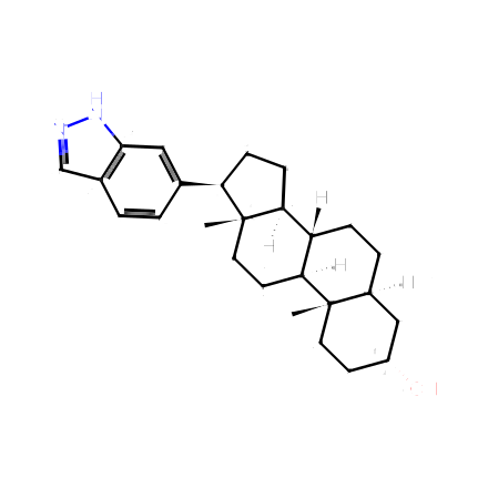 C[C@]12CC[C@@H](O)C[C@@H]1CC[C@@H]1[C@@H]2CC[C@]2(C)[C@@H](c3ccc4cn[nH]c4c3)CC[C@@H]12